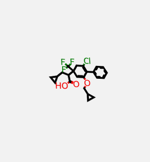 O=C(O)C(CC1CC1)C1(C(F)(F)F)C=C(OCC2CC2)C(c2ccccc2)=C(Cl)C1